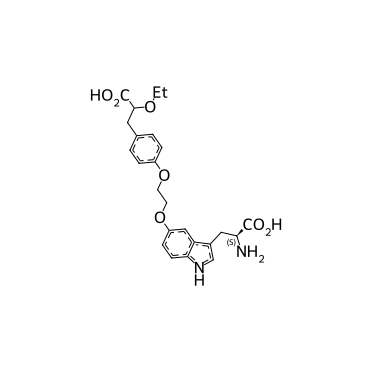 CCOC(Cc1ccc(OCCOc2ccc3[nH]cc(C[C@H](N)C(=O)O)c3c2)cc1)C(=O)O